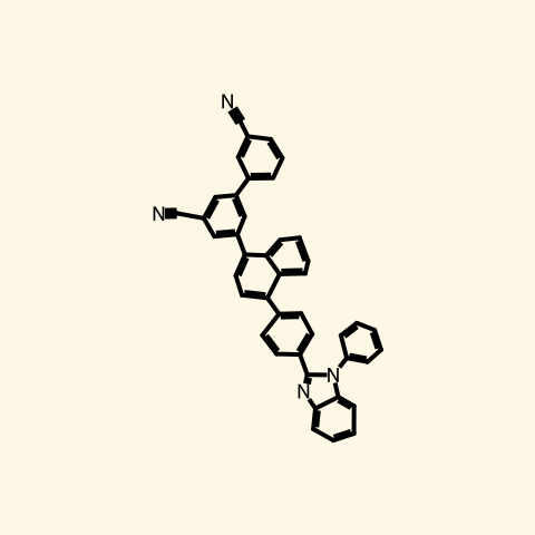 N#Cc1cccc(-c2cc(C#N)cc(-c3ccc(-c4ccc(-c5nc6ccccc6n5-c5ccccc5)cc4)c4ccccc34)c2)c1